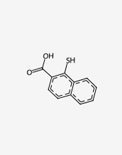 O=C(O)c1ccc2ccccc2c1S